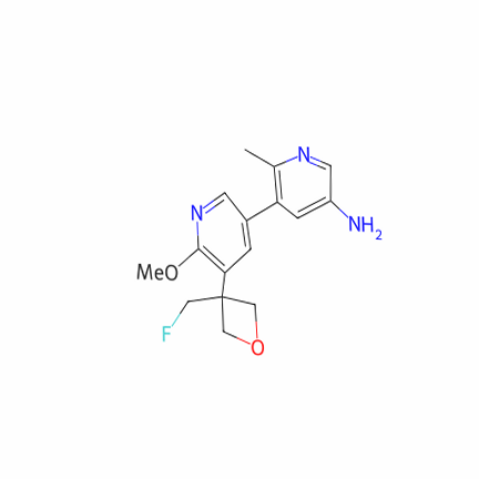 COc1ncc(-c2cc(N)cnc2C)cc1C1(CF)COC1